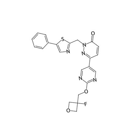 O=c1ccc(-c2cnc(OCC3(F)COC3)nc2)nn1Cc1ncc(-c2ccccc2)s1